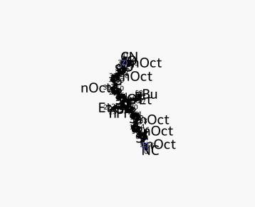 [C-]#[N+]/C(=C/c1cc(CCCCCCCC)c(-c2ccc(-c3sc(-c4cc5c(OCC(CC)CCC)c6sc(-c7cc(CCCCCCCC)c(-c8ccc(-c9sc(/C=C(/C#N)C(=O)OCCCCCCCC)cc9CCCCCCCC)s8)s7)cc6c(OCC(CC)CCCC)c5s4)cc3CCCCCCCC)s2)s1)CCCCCCCC